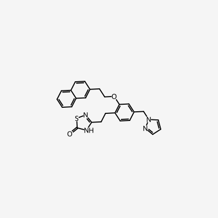 O=c1[nH]c(CCc2ccc(Cn3cccn3)cc2OCCc2ccc3ccccc3c2)ns1